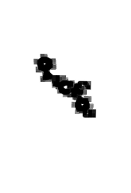 N#CCC1(N2CCC(CN[C@@H]3C[C@H]3c3ccccc3)CC2)CN(c2ccc(C#N)cc2)C1